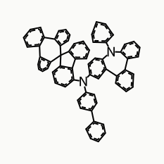 c1ccc(-c2ccc(N(c3ccc4c(c3)-c3ccccc3-c3ccccc3N4c3ccccc3)c3cccc4c3-c3ccccc3C43c4ccccc4-c4ccccc4-c4ccccc43)cc2)cc1